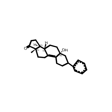 C[C@]12CCC3=C4CCC(c5ccccc5)C[C@]4(O)CC[C@H]3[C@@H]1CCC2=O